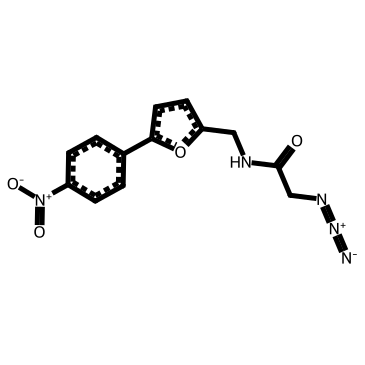 [N-]=[N+]=NCC(=O)NCc1ccc(-c2ccc([N+](=O)[O-])cc2)o1